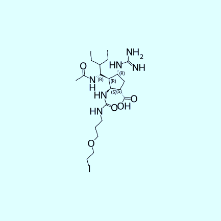 CCC(CC)[C@@H](NC(C)=O)[C@@H]1[C@H](NC(=O)NCCCOCCI)[C@@H](C(=O)O)C[C@H]1NC(=N)N